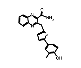 Cc1cc(-c2ccc(Cc3nc4ccccc4nc3C(N)=O)s2)ccc1O